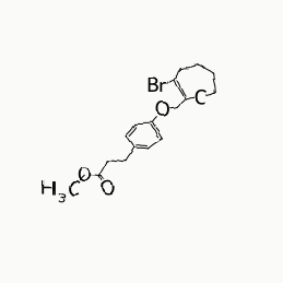 COC(=O)CCc1ccc(OCC2=C(Br)CCCCC2)cc1